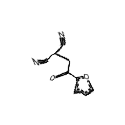 N#CC(C#N)CC(=O)c1ccco1